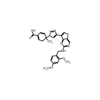 COc1ccc(CNc2ncc3scc(-c4cn(C5(C)C=CC(C(=O)O)=CC5)nn4)c3n2)c(OC)c1